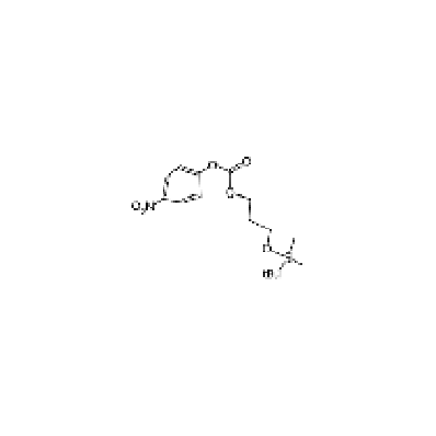 CC(C)(C)[Si](C)(C)OCCCOC(=O)Oc1ccc([N+](=O)[O-])cc1